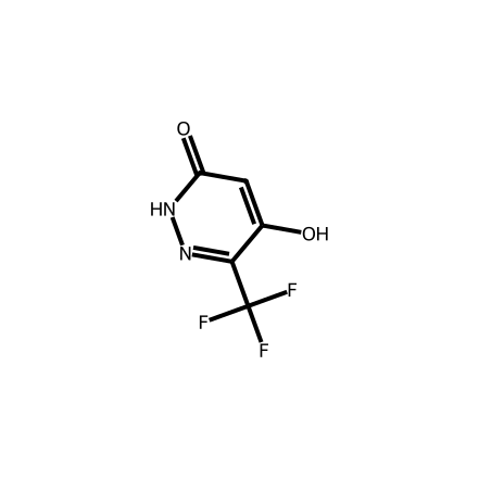 O=c1cc(O)c(C(F)(F)F)n[nH]1